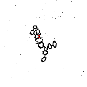 CC1CC2CC(C)C3(c4ccccc4-c4cccc(-c5ccc6c(c5)Sc5ccc(N(c7ccc(-c8ccccc8)cc7)c7ccc(-c8ccccc8)cc7)cc5S6)c43)C(C1)C2